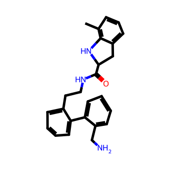 Cc1cccc2c1NC(C(=O)NCCc1ccccc1-c1ccccc1CN)C2